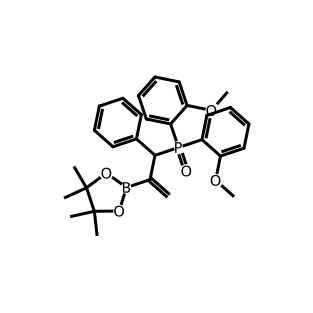 C=C(B1OC(C)(C)C(C)(C)O1)C(c1ccccc1)P(=O)(c1ccccc1OC)c1ccccc1OC